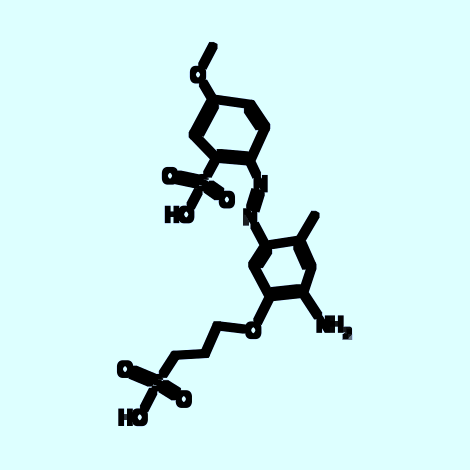 COc1ccc(N=Nc2cc(OCCCS(=O)(=O)O)c(N)cc2C)c(S(=O)(=O)O)c1